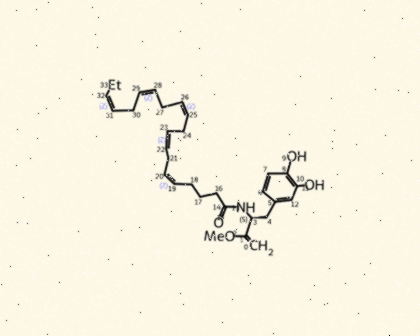 C=C(OC)[C@H](Cc1ccc(O)c(O)c1)NC(=O)CCC/C=C\C/C=C\C/C=C\C/C=C\C/C=C\CC